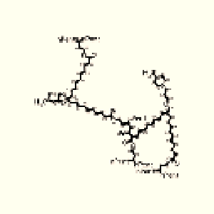 CCCCCC(CCCCC)CCOC(=O)CCCCCCCCCC(CCCCCCCCC(C(=O)OCCC(CCCCC)CCCCC)C(CCC)CC(CCCCC)CCOC(=O)CCCCCCCCCC1(CCCCCCCCCC(=O)OCCC(CCCCC)CCCCC)OCC(CN(C)C)O1)COCCCN1CCN(C)CC1